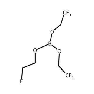 FCCOB(OCC(F)(F)F)OCC(F)(F)F